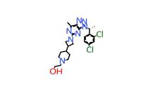 Cc1nc(N2CC(C3CCN(CCO)CC3)C2)nc2c1nnn2[C@H](C)c1ccc(Cl)cc1Cl